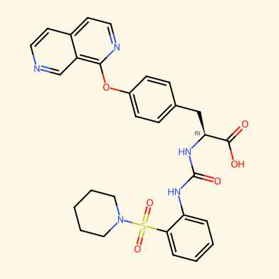 O=C(Nc1ccccc1S(=O)(=O)N1CCCCC1)N[C@@H](Cc1ccc(Oc2nccc3ccncc23)cc1)C(=O)O